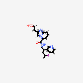 CC(I)CC(CNC(=O)c1cccc2nc(CCO)cn12)c1cccnc1